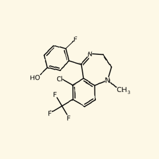 CN1CCN=C(c2cc(O)ccc2F)c2c1ccc(C(F)(F)F)c2Cl